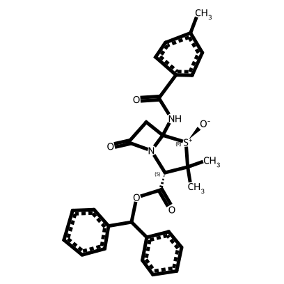 Cc1ccc(C(=O)NC23CC(=O)N2[C@@H](C(=O)OC(c2ccccc2)c2ccccc2)C(C)(C)[S@+]3[O-])cc1